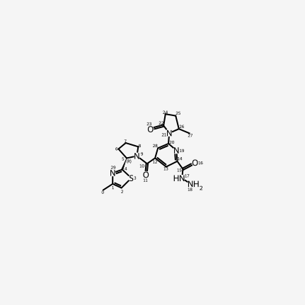 Cc1csc([C@H]2CCCN2C(=O)c2cc(C(=O)NN)nc(N3C(=O)CCC3C)c2)n1